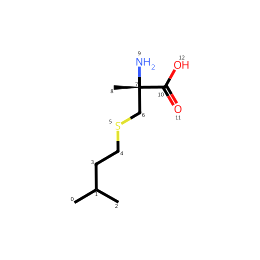 CC(C)CCSC[C@](C)(N)C(=O)O